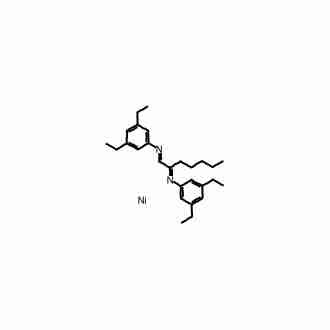 CCCCCC(/C=N/c1cc(CC)cc(CC)c1)=N\c1cc(CC)cc(CC)c1.[Ni]